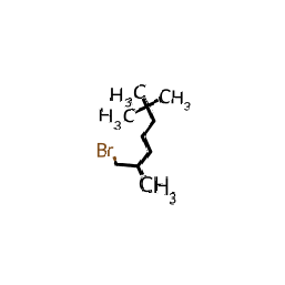 CC(CBr)CCCC(C)(C)C